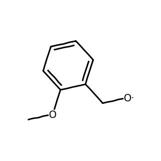 COc1ccccc1C[O]